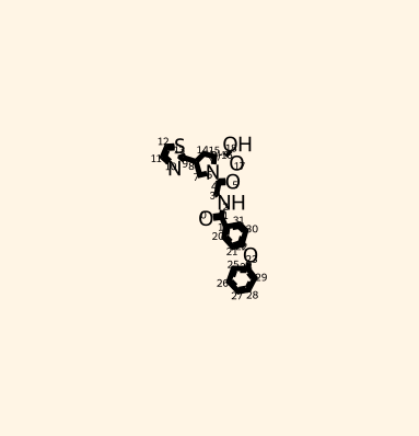 O=C(NCC(=O)N1CC(c2nccs2)C[C@@H]1C(=O)O)c1ccc(Oc2ccccc2)cc1